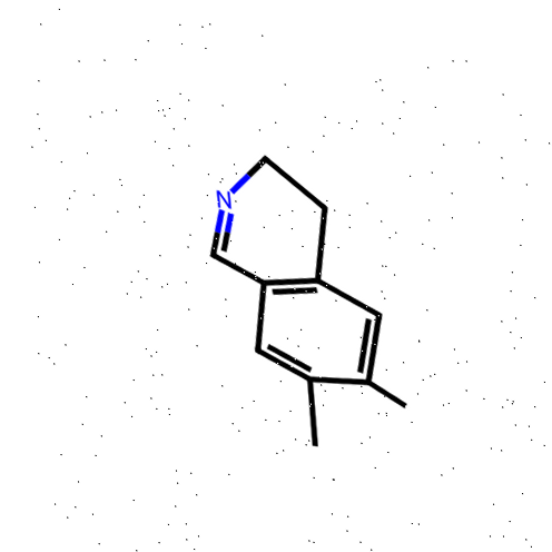 Cc1cc2c(cc1C)CCN=C2